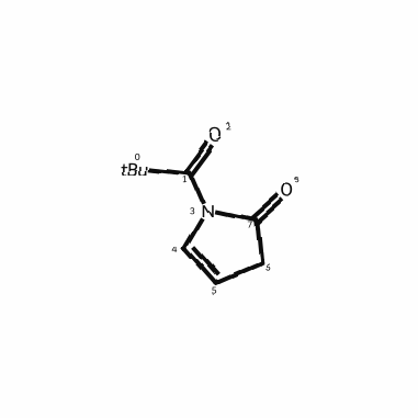 CC(C)(C)C(=O)N1C=CCC1=O